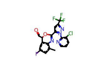 Cc1cc(I)cc2c1N=C(c1cc(C(F)(F)F)nn1-c1ncccc1Cl)OC2C=O